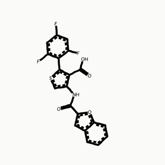 O=C(Nc1csc(-c2c(F)cc(F)cc2F)c1C(=O)O)c1cc2ccccc2o1